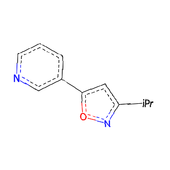 CC(C)c1cc(-c2cccnc2)on1